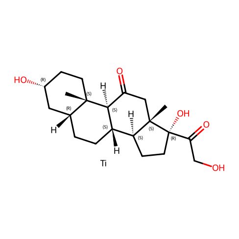 C[C@]12CC[C@@H](O)C[C@H]1CC[C@@H]1[C@@H]2C(=O)C[C@@]2(C)[C@H]1CC[C@]2(O)C(=O)CO.[Ti]